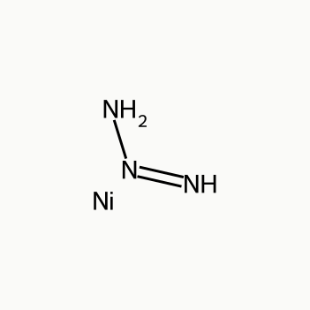 N=NN.[Ni]